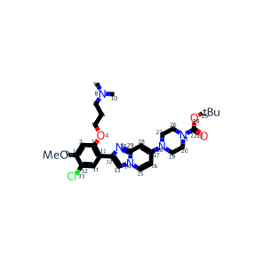 COc1cc(OCCCN(C)C)c(-c2cn3ccc(N4CCN(C(=O)OC(C)(C)C)CC4)cc3n2)cc1Cl